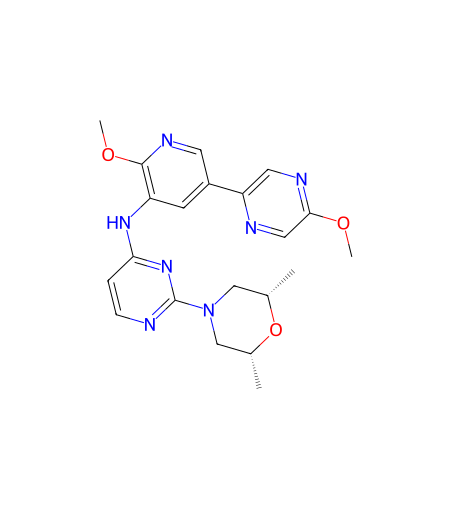 COc1cnc(-c2cnc(OC)c(Nc3ccnc(N4C[C@@H](C)O[C@@H](C)C4)n3)c2)cn1